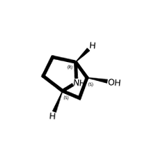 O[C@H]1C[C@@H]2CC[C@H]1N2